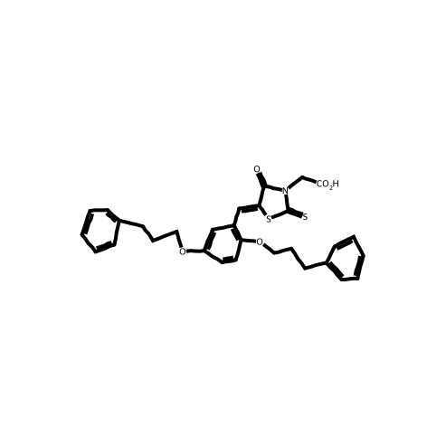 O=C(O)CN1C(=O)C(=Cc2cc(OCCCc3ccccc3)ccc2OCCCc2ccccc2)SC1=S